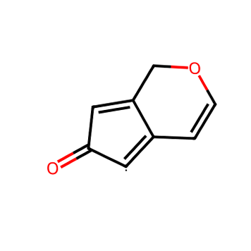 O=C1[C]=C2C=COCC2=C1